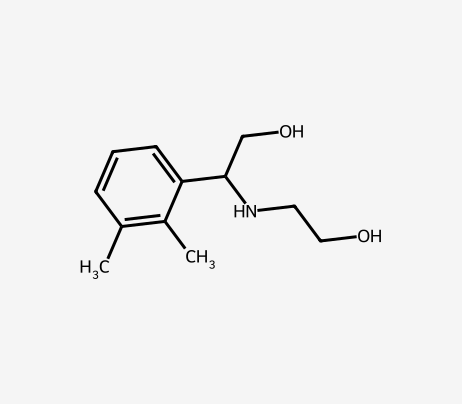 Cc1cccc(C(CO)NCCO)c1C